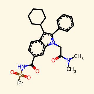 CC(C)S(=O)(=O)NC(=O)c1ccc2c(C3CCCCC3)c(-c3ccccc3)n(CC(=O)N(C)C)c2c1